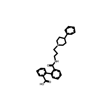 O=C(O)c1ccccc1-c1ccccc1C(=O)NCCCN1CCC(c2ccccc2)CC1